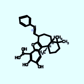 CC1(C)CCC[C@@]2(C)c3c(oc4c(B(O)O)c(O)c(O)cc34)C(/C=N/c3ccccc3)CC[C@H]12